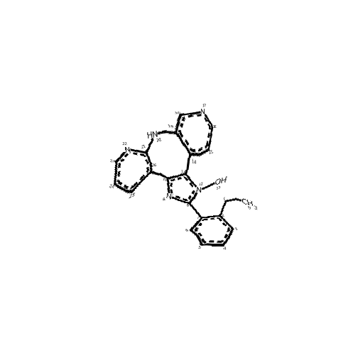 CCc1ccccc1-c1nc2c(n1O)-c1ccncc1Nc1ncccc1-2